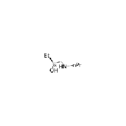 CCCNC[C@@H](O)CC